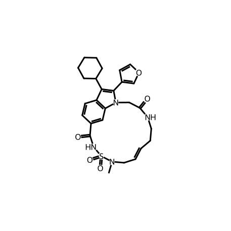 CN1C/C=C/CCNC(=O)Cn2c(-c3ccoc3)c(C3CCCCC3)c3ccc(cc32)C(=O)NS1(=O)=O